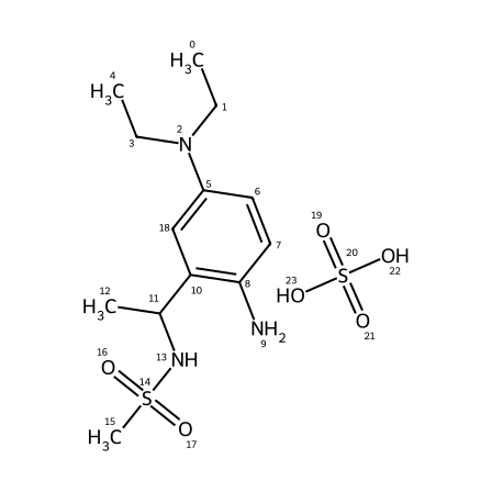 CCN(CC)c1ccc(N)c(C(C)NS(C)(=O)=O)c1.O=S(=O)(O)O